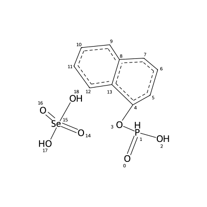 O=[PH](O)Oc1cccc2ccccc12.O=[Se](=O)(O)O